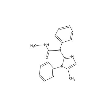 CNC(=O)N(c1ccccc1)c1ncc(C)n1-c1ccccc1